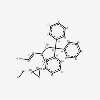 CC[C@H]1C[C@H]1CC(/C=C/I)OC(c1ccccc1)(c1ccccc1)c1ccccc1